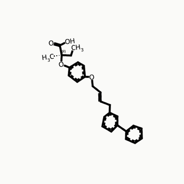 CC[C@@](C)(Oc1ccc(OCC=CCc2cccc(-c3ccccc3)c2)cc1)C(=O)O